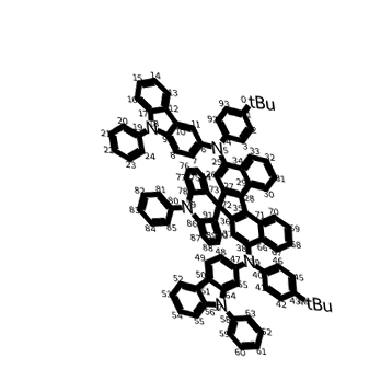 CC(C)(C)c1ccc(N(c2ccc3c(c2)c2ccccc2n3-c2ccccc2)c2cc3c(c4ccccc24)-c2c(cc(N(c4ccc(C(C)(C)C)cc4)c4ccc5c6ccccc6n(-c6ccccc6)c5c4)c4ccccc24)C32c3ccccc3N(c3ccccc3)c3ccccc32)cc1